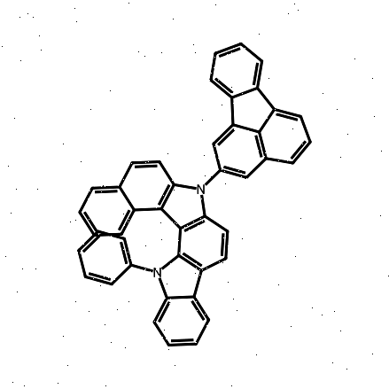 c1ccc(-n2c3ccccc3c3ccc4c(c5c6ccccc6ccc5n4-c4cc5c6c(cccc6c4)-c4ccccc4-5)c32)cc1